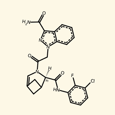 NC(=O)c1nn(CC(=O)N2C=C3CC(C3)[C@@H]2C(=O)Nc2cccc(Cl)c2F)c2ccccc12